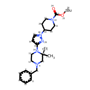 CC[C@@]1(C)CN(Cc2ccccc2)CCN1c1ccn(C2CCN(C(=O)OC(C)(C)C)CC2)n1